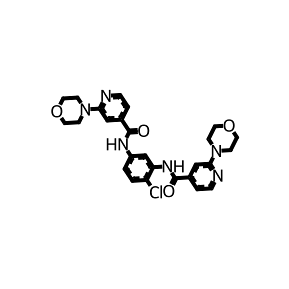 O=C(Nc1ccc(Cl)c(NC(=O)c2ccnc(N3CCOCC3)c2)c1)c1ccnc(N2CCOCC2)c1